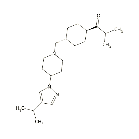 CC(C)c1cnn(C2CCN(C[C@H]3CC[C@H](C(=O)C(C)C)CC3)CC2)c1